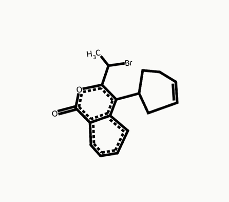 CC(Br)c1oc(=O)c2ccccc2c1C1CC=CCC1